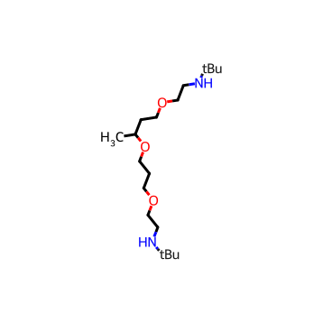 CC(CCOCCNC(C)(C)C)OCCCOCCNC(C)(C)C